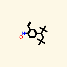 C=Cc1cc(C(CC(C)(C)C)C(C)(C)C)ccc1N=O